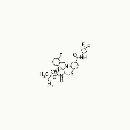 CC(C)(C)OC(=O)N[C@H]1CSc2ccc(C(=O)NC3CC(F)(F)C3)cc2N(Cc2ccccc2F)C1=O